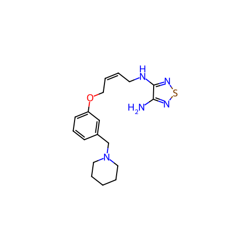 Nc1nsnc1NC/C=C\COc1cccc(CN2CCCCC2)c1